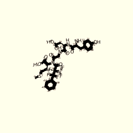 CSCC[C@@H](C(=O)O)N(C(=O)CNC(=O)[C@@H](CC(=O)O)NC(=O)[C@@H](N)Cc1ccc(O)cc1)C(=O)[C@@](F)(N(F)F)C(F)(F)c1ccccc1